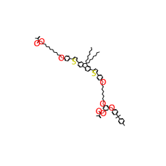 C=C(C)C(=O)OCCCCCCCCCCOc1ccc(-c2ccc(-c3ccc4c(c3)C(CCCCCCC)(CCCCCCC)c3cc(-c5ccc(-c6ccc(OCCCCCCCCOc7cc(OC(=O)C(=C)C)cc(Oc8ccc(C(C)(C)c9ccc(C)cc9)cc8)c7)cc6)s5)ccc3-4)s2)cc1